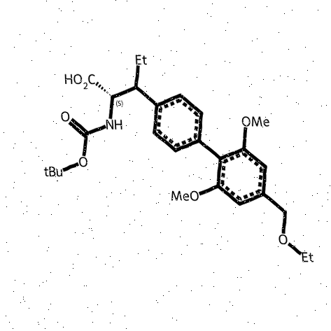 CCOCc1cc(OC)c(-c2ccc(C(CC)[C@H](NC(=O)OC(C)(C)C)C(=O)O)cc2)c(OC)c1